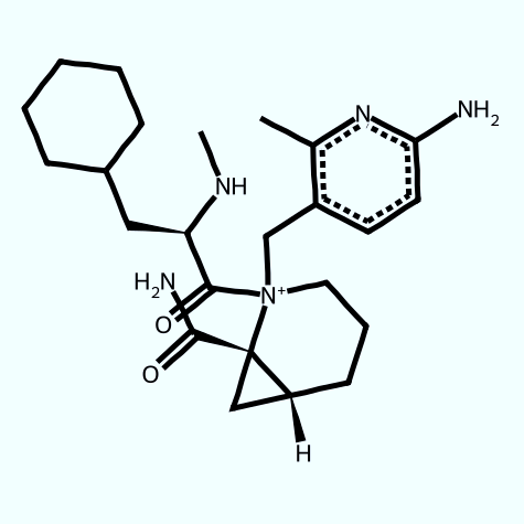 CN[C@H](CC1CCCCC1)C(=O)[N+]1(Cc2ccc(N)nc2C)CCC[C@@H]2C[C@@]21C(N)=O